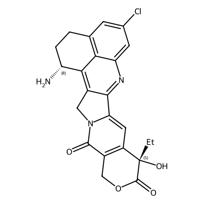 CC[C@@]1(O)C(=O)OCc2c1cc1n(c2=O)Cc2c-1nc1cc(Cl)cc3c1c2[C@H](N)CC3